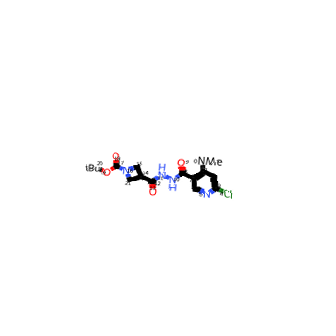 CNc1cc(Cl)ncc1C(=O)NNC(=O)C1CN(C(=O)OC(C)(C)C)C1